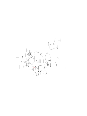 CC(=O)c1nn2c3c(cc(-c4cnc(C)nc4)cc13)CCCCC[C@@H](C)C(=O)N(C)C[C@@]13C[C@@H](C(=O)Nc4nc(C(F)(F)F)ccc4C)N(C(=O)C2)[C@@H]1C3